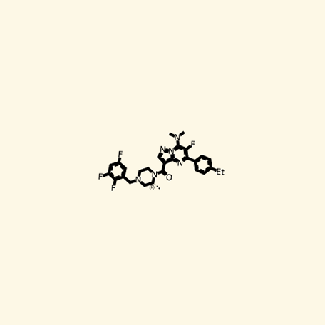 CCc1ccc(-c2nc3c(C(=O)N4CCN(Cc5cc(F)cc(F)c5F)C[C@H]4C)cnn3c(N(C)C)c2F)cc1